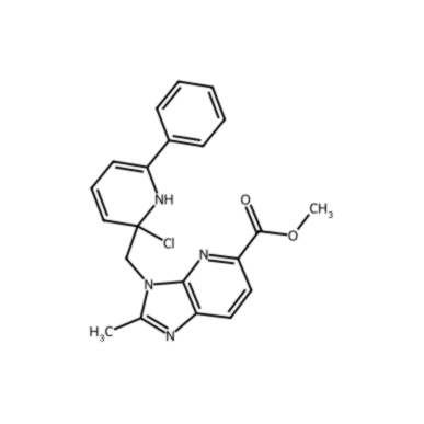 COC(=O)c1ccc2nc(C)n(CC3(Cl)C=CC=C(c4ccccc4)N3)c2n1